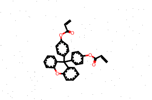 C=CC(=O)Oc1ccc(C2(c3ccc(OC(=O)C=C)cc3)c3ccccc3Oc3ccccc32)cc1